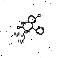 CC[C@H](C)[C@@H]1N=C(c2ccccn2)c2cc(Cl)ccc2NC1=O